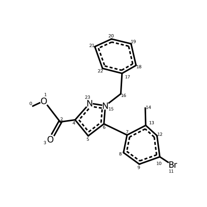 COC(=O)c1cc(-c2ccc(Br)cc2C)n(Cc2ccccc2)n1